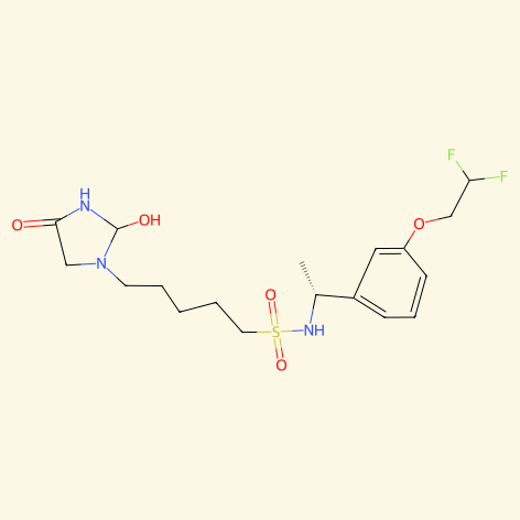 C[C@@H](NS(=O)(=O)CCCCCN1CC(=O)NC1O)c1cccc(OCC(F)F)c1